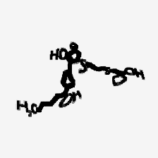 CCCCCC(O)c1ccc(C2=C(O)C(=O)C[C@@H]2SCCCSCC(=O)O)cc1